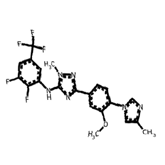 COc1cc(-c2nc(Nc3cc(C(F)(F)F)cc(F)c3F)n(C)n2)ccc1-n1cnc(C)c1